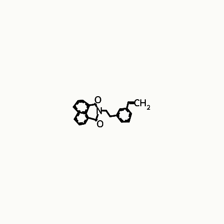 C=Cc1cccc(CCN2C(=O)c3cccc4cccc(c34)C2=O)c1